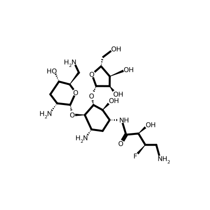 NC[C@@H](F)[C@H](O)C(=O)N[C@@H]1C[C@H](N)[C@@H](O[C@H]2O[C@H](CN)[C@@H](O)C[C@H]2N)[C@H](O[C@@H]2O[C@H](CO)[C@@H](O)[C@H]2O)[C@H]1O